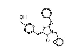 O=C1/C(=C/c2ccc(CO)cc2)S/C(=N\c2ccccc2)N1Cc1ccco1